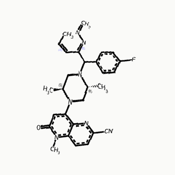 C=N/N=C(\C=C/C)C(c1ccc(F)cc1)N1C[C@H](C)N(c2cc(=O)n(C)c3ccc(C#N)nc23)C[C@H]1C